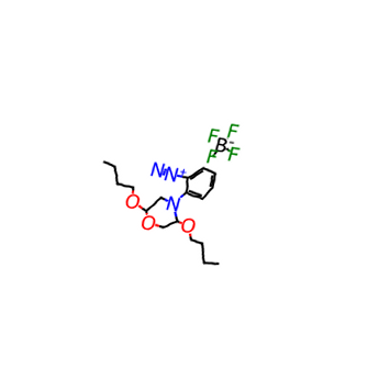 CCCCOC1CN(c2ccccc2[N+]#N)C(OCCCC)CO1.F[B-](F)(F)F